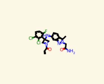 C=CC(=O)N1CC(Nc2ccc3c(C)n(CC(N)=O)nc3c2)(c2c(F)ccc(Cl)c2Cl)C1